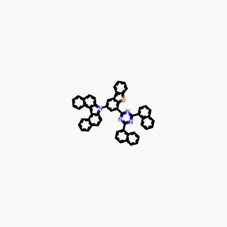 c1ccc2c(-c3nc(-c4cccc5ccccc45)nc(-c4cc(-n5c6ccc7ccccc7c6c6c7ccccc7ccc65)cc5c4sc4ccccc45)n3)cccc2c1